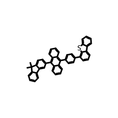 CC1(C)c2ccccc2-c2cc(-c3c4ccccc4c(-c4ccc(-c5cccc6c5sc5ccccc56)cc4)c4ccccc34)ccc21